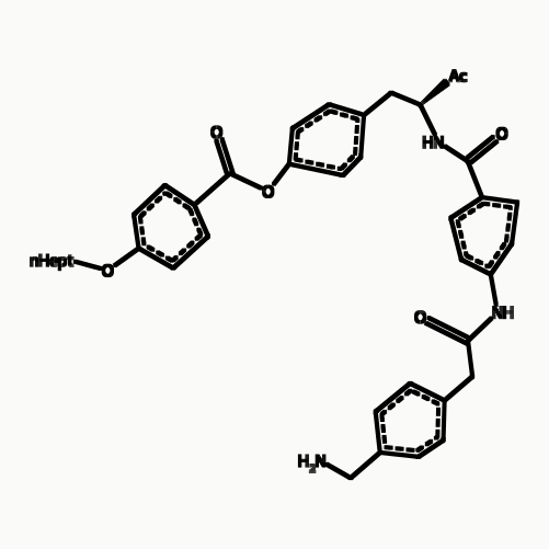 CCCCCCCOc1ccc(C(=O)Oc2ccc(C[C@H](NC(=O)c3ccc(NC(=O)Cc4ccc(CN)cc4)cc3)C(C)=O)cc2)cc1